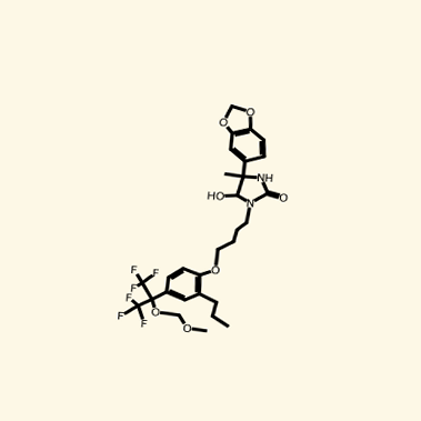 CCCc1cc(C(OCOC)(C(F)(F)F)C(F)(F)F)ccc1OCCCCN1C(=O)NC(C)(c2ccc3c(c2)OCO3)C1O